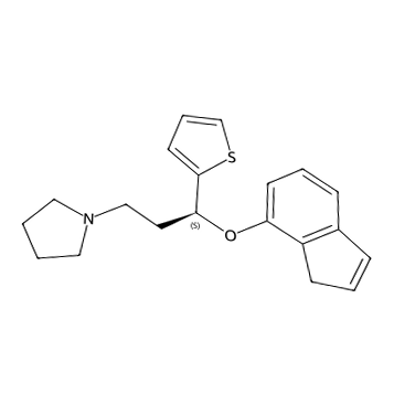 C1=Cc2cccc(O[C@@H](CCN3CCCC3)c3cccs3)c2C1